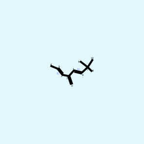 C=C(/C=C/C)/C=C/C(C)(C)C